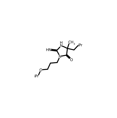 CC(C)CC1(C)NC(=N)N(CCCOC(C)C)C1=O